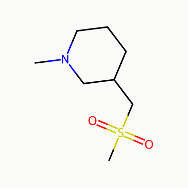 CN1CCCC(CS(C)(=O)=O)C1